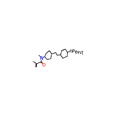 C=C(C)C(=O)N(C)C1CCC(CCC2CCC(CCCCC)CC2)CC1